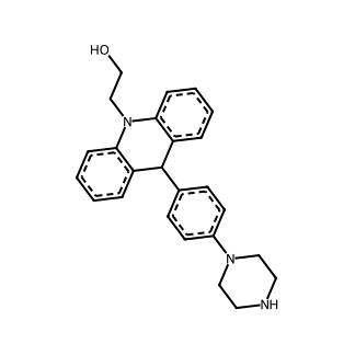 OCCN1c2ccccc2C(c2ccc(N3CCNCC3)cc2)c2ccccc21